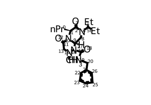 CCC[C@H]1C(=O)N(C(CC)CC)C[C@H]2N1C(=O)CN(C)N2C(=O)NCc1ccccc1